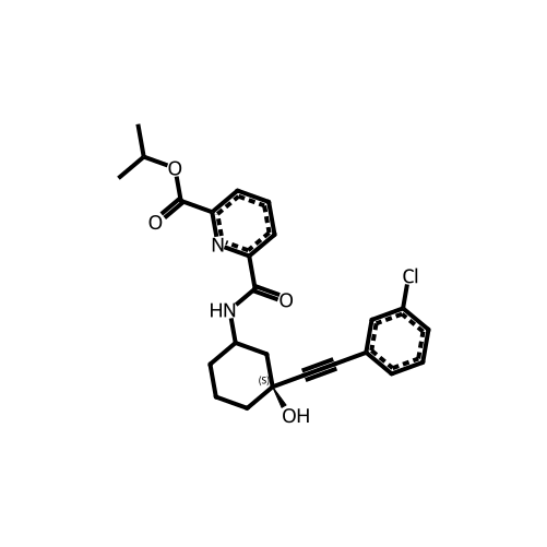 CC(C)OC(=O)c1cccc(C(=O)NC2CCC[C@@](O)(C#Cc3cccc(Cl)c3)C2)n1